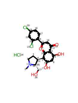 CN1CC[C@@H](c2c(O)cc(O)c3c(=O)cc(-c4ccc(Cl)cc4Cl)oc23)[C@@H]1CO.Cl